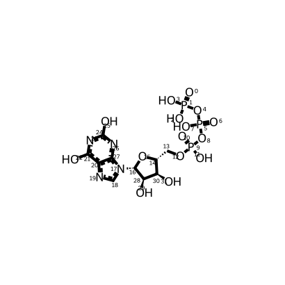 O=P(O)(O)OP(=O)(O)OP(=O)(O)OC[C@H]1O[C@@H](n2cnc3c(O)nc(O)nc32)[C@H](O)[C@@H]1O